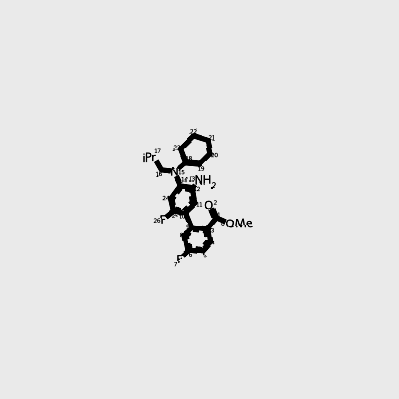 COC(=O)c1ccc(F)cc1-c1cc(N)c(N(CC(C)C)C2CCCCC2)cc1F